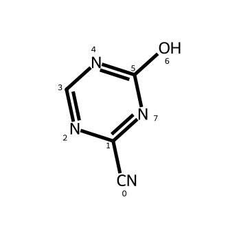 N#Cc1ncnc(O)n1